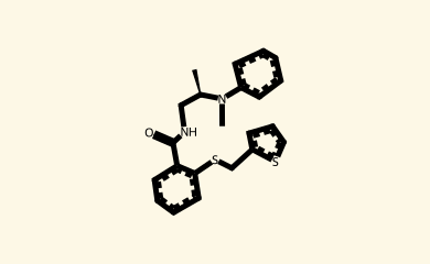 C[C@H](CNC(=O)c1ccccc1SCc1cccs1)N(C)c1ccccc1